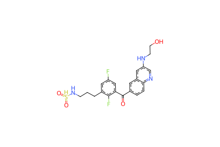 O=C(c1ccc2ncc(NCCO)cc2c1)c1cc(F)cc(CCCN[SH](=O)=O)c1F